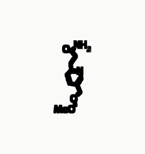 COCOCc1ccc(CCC(N)=O)nc1